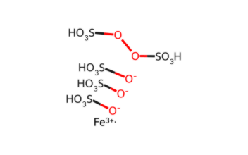 O=S(=O)(O)OOS(=O)(=O)O.O=S(=O)([O-])O.O=S(=O)([O-])O.O=S(=O)([O-])O.[Fe+3]